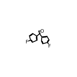 Fc1ccc(C2(c3ccc(F)cc3)CO2)cc1